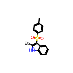 CCc1[nH]c2ccccc2c1S(=O)(=O)c1ccc(C)cc1